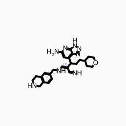 N=C/C(=C\NCc1ccc2c(c1)CCNC2)C(CCC1CCOCC1)c1cc(N)nc2[nH]nnc12